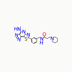 CNc1nc2nc(-c3cccc(CNC(=O)CCN4CCCCC4)c3)sc2c2c1ncn2C